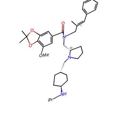 COc1cc(C(=O)N(C/C(C)=C/c2ccccc2)C[C@@H]2CCCN2C[C@H]2CC[C@H](NC(C)C)CC2)cc2c1OC(C)(C)O2